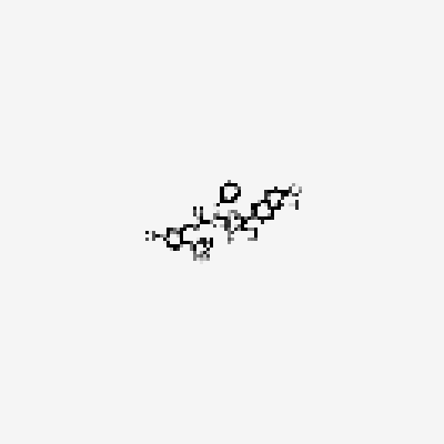 O=C(CCc1cc(Cl)ccc1-n1cnnn1)N[C@@H](Cc1ccccc1)c1nc(-c2ccc3[nH]c(=O)ccc3c2)c(Cl)[nH]1